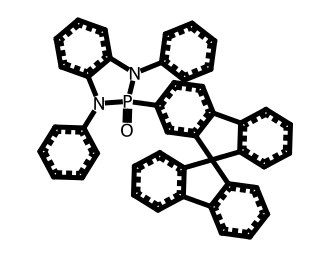 O=P1(c2ccc3c(c2)C2(c4ccccc4-c4ccccc42)c2ccccc2-3)N(c2ccccc2)c2ccccc2N1c1ccccc1